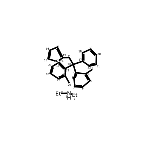 CCNCC.Cc1ccccc1C(Cc1cccs1)(c1ccccc1)c1ccccc1C